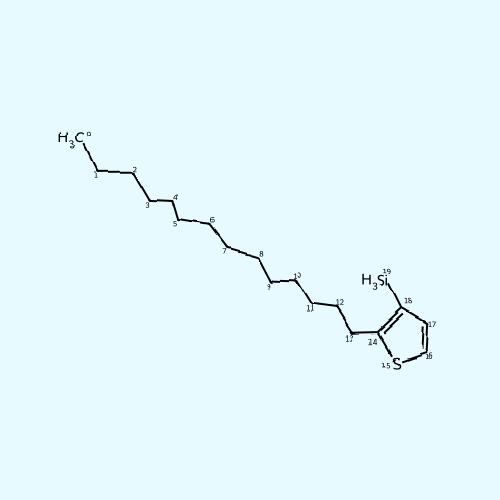 CCCCCCCCCCCCCCc1sccc1[SiH3]